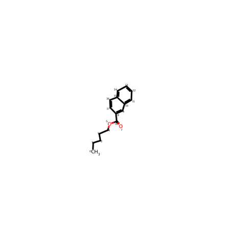 CCCCCOC(=O)c1[c]c2ccccc2cc1